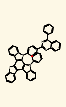 c1ccc(-c2nc(-c3ccc(-n4c5ccccc5c5c6sc7ccccc7c6c6c7ccccc7n(-c7ccccc7)c6c54)cc3)nc3ccccc23)cc1